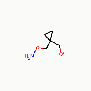 NOCC1(CO)CC1